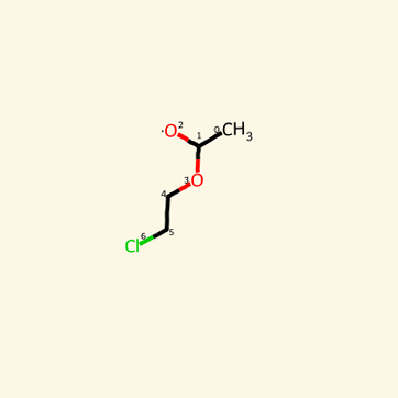 CC([O])OCCCl